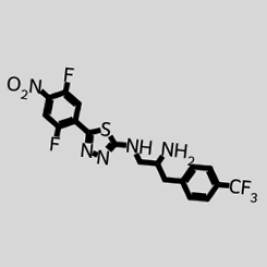 NC(CNc1nnc(-c2cc(F)c([N+](=O)[O-])cc2F)s1)Cc1ccc(C(F)(F)F)cc1